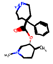 CC1CCN(C)C[C@@H]1OC(=O)C1(c2ccccc2)CCNCC1